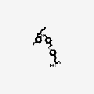 CCCc1cc2cc(F)ccc2n1Cc1ccc(COc2ccc(CCC(=O)O)cc2)cc1